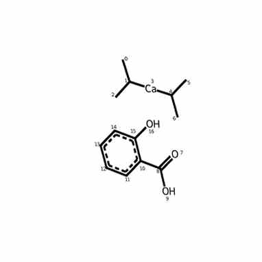 C[CH](C)[Ca][CH](C)C.O=C(O)c1ccccc1O